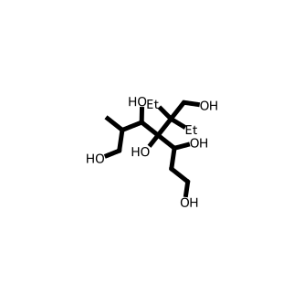 CCC(CC)(CO)C(O)(C(O)CCO)C(O)C(C)CO